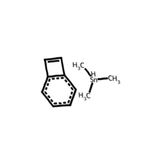 C1=Cc2ccccc21.[CH3][SnH]([CH3])[CH3]